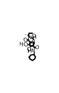 C[C@@H]1CCO[C@H]2Cn3cc(C(=O)NCC4CCCCCC4)c(=O)c(O)c3C(=O)N12